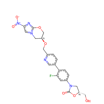 O=C1O[C@@H](CO)CN1c1ccc(-c2ccc(CO[C@@H]3COc4nc([N+](=O)[O-])cn4C3)nc2)c(F)c1